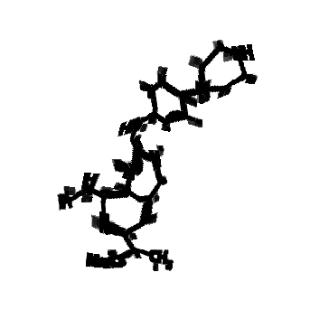 CO[C@H](C)c1cc2cnc(Nc3ccc(N4CCNCC4)nn3)nc2c(NC(C)C)n1